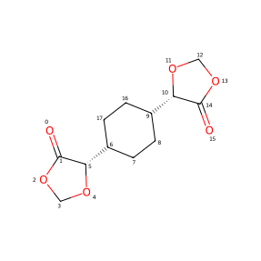 O=C1OCO[C@H]1C1CCC([C@@H]2OCOC2=O)CC1